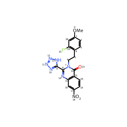 COc1ccc(CCn2c(-c3nnn[nH]3)nc3cc([N+](=O)[O-])ccc3c2=O)c(F)c1